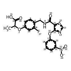 CC(Oc1ccc(CNC(=O)c2scnc2Oc2cccc([N+](=O)[O-])c2)c(F)c1)C(=O)O